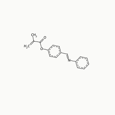 C=C(C)C(=O)Oc1ccc(C=Nc2ccccc2)cc1